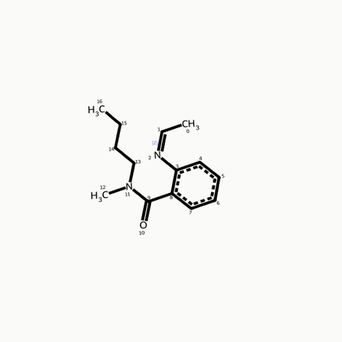 C/C=N\c1ccccc1C(=O)N(C)CCCC